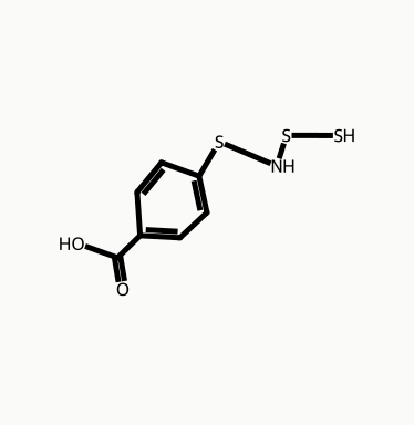 O=C(O)c1ccc(SNSS)cc1